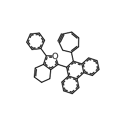 C1#CCC(c2c(-c3oc(-c4ccccc4)c4c3CCC=C4)c3ccccc3c3ccccc23)=CC=C1